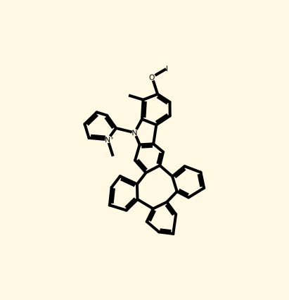 Cc1c(OI)ccc2c3cc4c(cc3n(-c3cccc[n+]3C)c12)-c1ccccc1-c1ccccc1-c1ccccc1-4